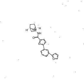 O=C(N[C@@H]1C[C@H]2CC[C@@H]1N2)c1ccc(-c2cccc(-c3ccco3)c2)o1